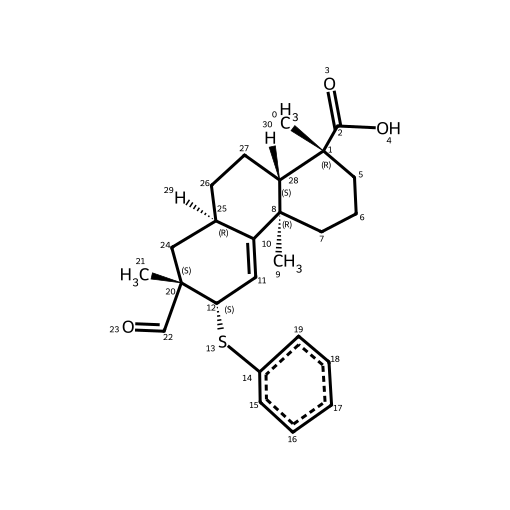 C[C@@]1(C(=O)O)CCC[C@@]2(C)C3=C[C@H](Sc4ccccc4)[C@](C)(C=O)C[C@H]3CC[C@H]12